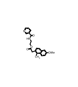 COc1ccc2c(C)c(CC(=O)OCCNC(=O)c3cccnc3)ccc2c1